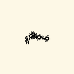 O=[SH](=O)Cc1ccc2ncnc(Nc3ccc(OCc4ccccc4)cc3)c2c1